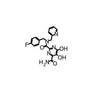 NC(=O)c1nc(C(=O)N(Cc2ccc(F)cc2)Cc2ccccn2)nc(O)c1O